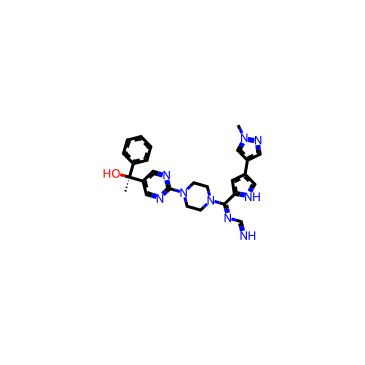 Cn1cc(-c2c[nH]c(/C(=N\C=N)N3CCN(c4ncc([C@@](C)(O)c5ccccc5)cn4)CC3)c2)cn1